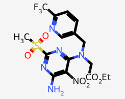 CCOC(=O)CN(Cc1ccc(C(F)(F)F)nc1)c1nc(S(C)(=O)=O)nc(N)c1[N+](=O)[O-]